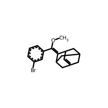 CO/C(=C1\C2C=C3CC(C2)CC1C3)c1cccc(Br)c1